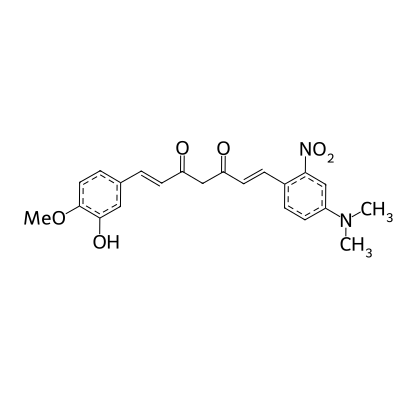 COc1ccc(C=CC(=O)CC(=O)C=Cc2ccc(N(C)C)cc2[N+](=O)[O-])cc1O